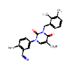 CNc1ccc(-n2cc(C(=O)O)c(=O)n(Cc3cccc(C(F)(F)F)c3C)c2=O)cc1C=N